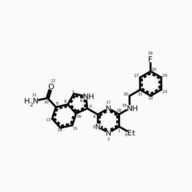 CCc1nnc(-c2[nH]cc3c(C(N)=O)cccc23)nc1NCc1cccc(F)c1